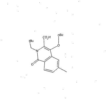 CCCCOc1c(C(=O)O)n(CC(C)(C)C)c(=O)c2ccc(C)cc12